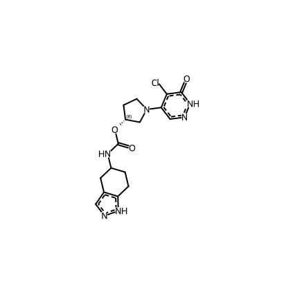 O=C(NC1CCc2[nH]ncc2C1)O[C@@H]1CCN(c2cn[nH]c(=O)c2Cl)C1